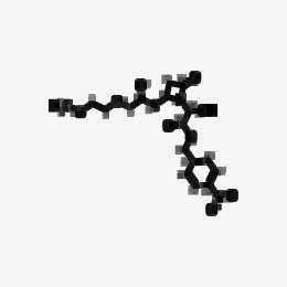 COCCOCC(=O)SC1CC(=O)N1C(O)C(=O)OCc1ccc([N+](=O)[O-])cc1